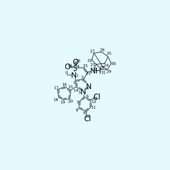 CN1c2c(nn(-c3ccc(Cl)cc3Cl)c2-c2ccccc2)C(NC23CC4CC(CC(C4)C2)C3)=CS1(=O)=O